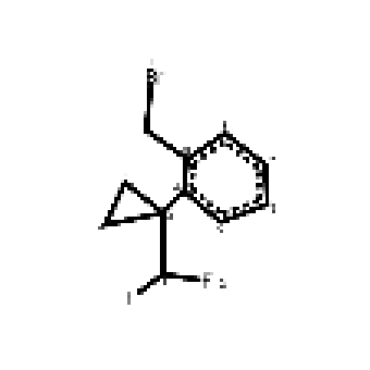 FC(F)C1(c2ccccc2CBr)CC1